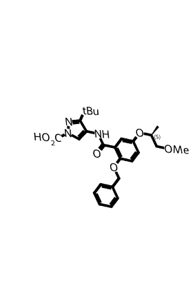 COC[C@H](C)Oc1ccc(OCc2ccccc2)c(C(=O)Nc2cn(C(=O)O)nc2C(C)(C)C)c1